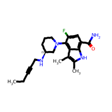 CCC#CCN[C@H]1CCCN(c2c(F)cc(C(N)=O)c3[nH]c(C)c(C)c23)C1